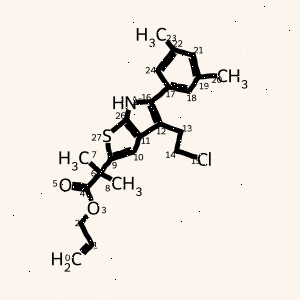 C=CCOC(=O)C(C)(C)c1cc2c(CCCl)c(-c3cc(C)cc(C)c3)[nH]c2s1